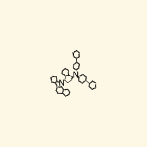 C1=C(N(c2ccc(-c3ccccc3)cc2)c2ccc(-c3ccccc3)cc2)c2ccccc2C(n2c3ccccc3c3ccc4ccccc4c32)C1